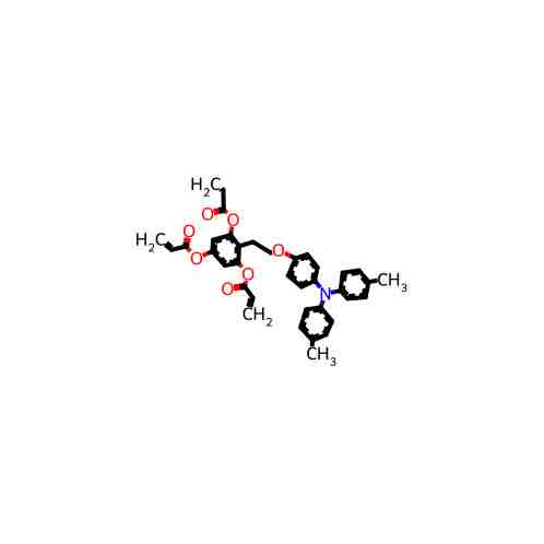 C=CC(=O)Oc1cc(OC(=O)C=C)c(CCOc2ccc(N(c3ccc(C)cc3)c3ccc(C)cc3)cc2)c(OC(=O)C=C)c1